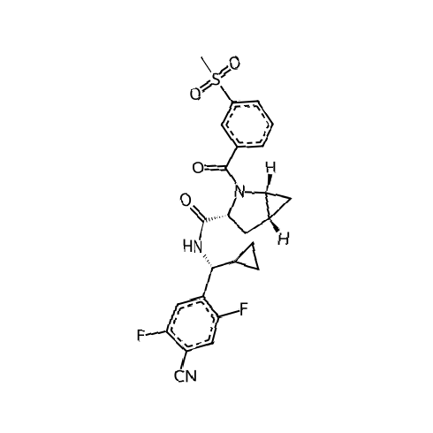 CS(=O)(=O)c1cccc(C(=O)N2[C@@H](C(=O)N[C@@H](c3cc(F)c(C#N)cc3F)C3CC3)C[C@H]3C[C@H]32)c1